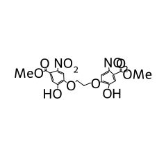 COC(=O)c1cc(O)c(OCCCOc2cc([N+](=O)[O-])c(C(=O)OC)cc2O)cc1[N+](=O)[O-]